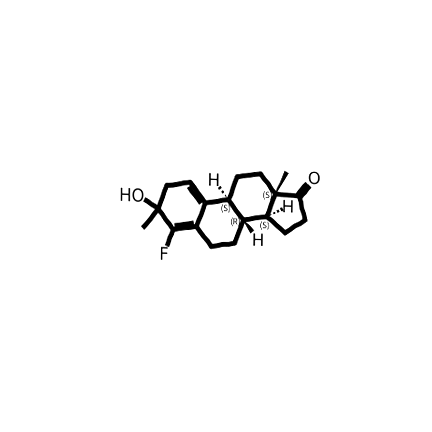 CC1(O)CC=C2C(=C1F)CC[C@@H]1[C@@H]2CC[C@]2(C)C(=O)CC[C@@H]12